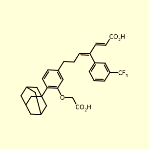 O=C(O)C=CC(=CCCc1ccc(C23CC4CC(CC(C4)C2)C3)c(OCC(=O)O)c1)c1cccc(C(F)(F)F)c1